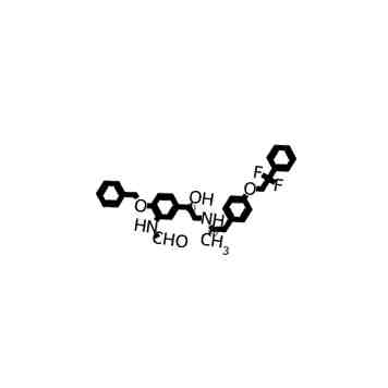 C[C@@H](Cc1ccc(OCC(F)(F)c2ccccc2)cc1)NC[C@@H](O)c1ccc(OCc2ccccc2)c(NC=O)c1